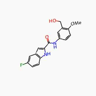 COc1ccc(NC(=O)c2cc3cc(F)ccc3[nH]2)cc1CO